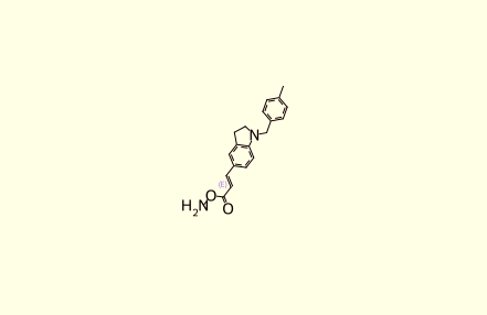 Cc1ccc(CN2CCc3cc(/C=C/C(=O)ON)ccc32)cc1